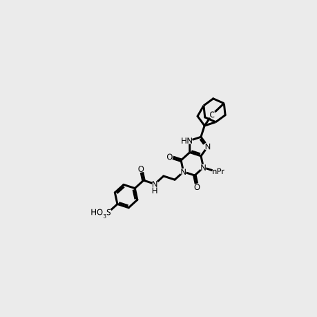 CCCn1c(=O)n(CCNC(=O)c2ccc(S(=O)(=O)O)cc2)c(=O)c2[nH]c(C34CC5CC(CC3C5)C4)nc21